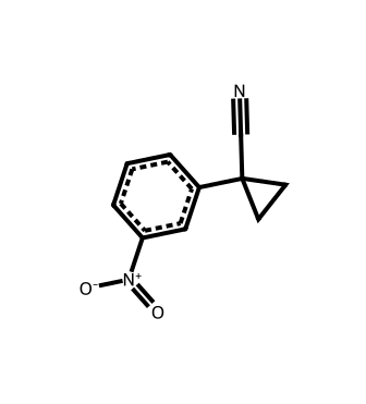 N#CC1(c2cccc([N+](=O)[O-])c2)CC1